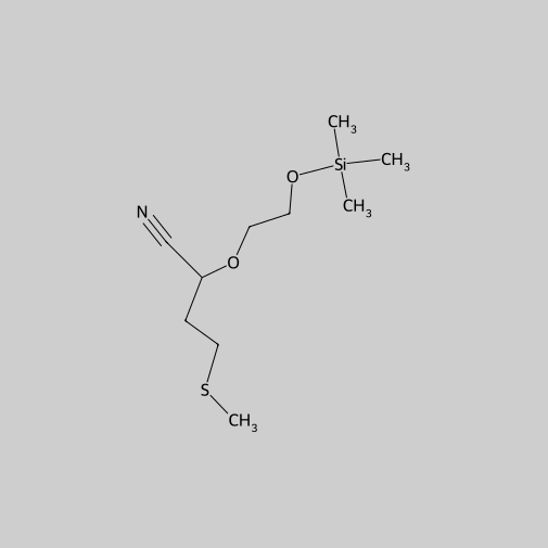 CSCCC(C#N)OCCO[Si](C)(C)C